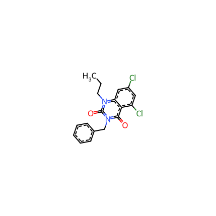 CCCn1c(=O)n(Cc2ccccc2)c(=O)c2c(Cl)cc(Cl)cc21